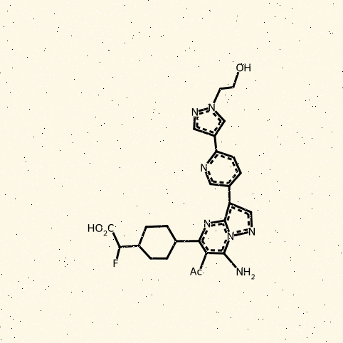 CC(=O)c1c(C2CCC(C(F)C(=O)O)CC2)nc2c(-c3ccc(-c4cnn(CCO)c4)nc3)cnn2c1N